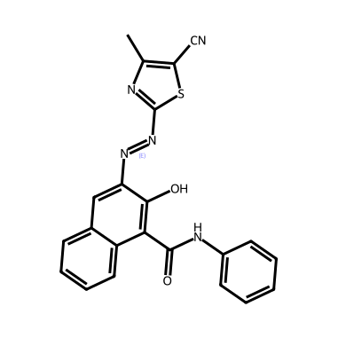 Cc1nc(/N=N/c2cc3ccccc3c(C(=O)Nc3ccccc3)c2O)sc1C#N